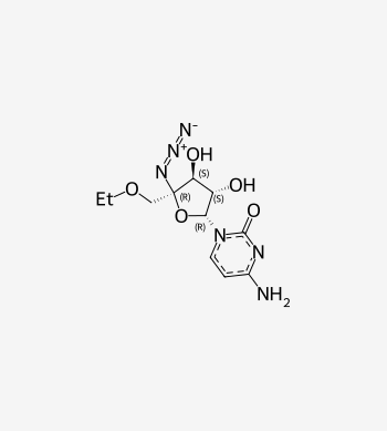 CCOC[C@@]1(N=[N+]=[N-])O[C@@H](n2ccc(N)nc2=O)[C@@H](O)[C@@H]1O